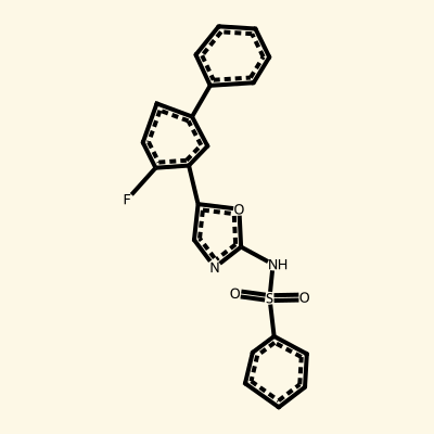 O=S(=O)(Nc1ncc(-c2cc(-c3ccccc3)ccc2F)o1)c1ccccc1